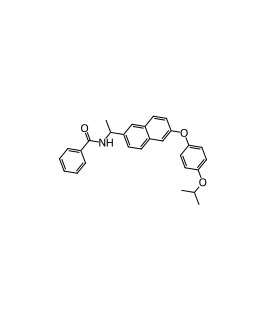 CC(C)Oc1ccc(Oc2ccc3cc(C(C)NC(=O)c4ccccc4)ccc3c2)cc1